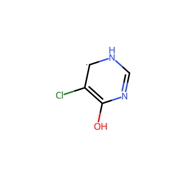 OC1=C(Cl)[CH]NC=N1